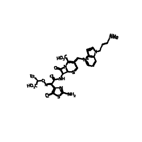 CC[C@@H](O/N=C(\C(=O)NC1C(=O)N2C(C(=O)O)=C(C[n+]3cccc4c3ccn4CCCNC)CSC12)c1nc(N)sc1Cl)C(=O)O